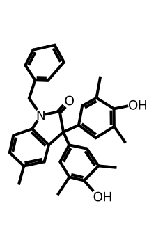 Cc1ccc2c(c1)C(c1cc(C)c(O)c(C)c1)(c1cc(C)c(O)c(C)c1)C(=O)N2Cc1ccccc1